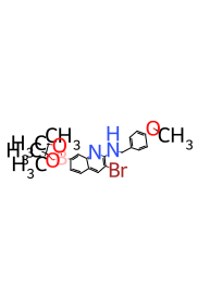 COc1ccc(CNc2nc3cc(B4OC(C)(C)C(C)(C)O4)ccc3cc2Br)cc1